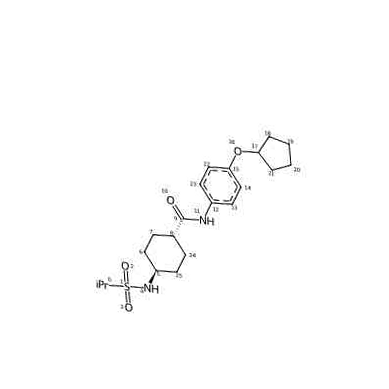 CC(C)S(=O)(=O)N[C@H]1CC[C@H](C(=O)Nc2ccc(OC3CCCC3)cc2)CC1